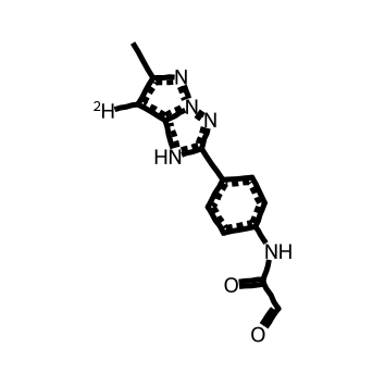 [2H]c1c(C)nn2nc(-c3ccc(NC(=O)C=O)cc3)[nH]c12